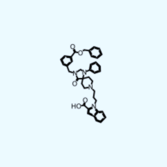 O=C(OCc1ccccc1)c1cccc(CN2CN(c3ccccc3)C3(CCN(CCCn4c(C(=O)O)cc5ccccc54)CC3)C2=O)c1